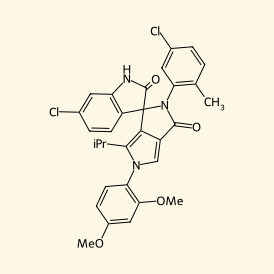 COc1ccc(-n2cc3c(c2C(C)C)C2(C(=O)Nc4cc(Cl)ccc42)N(c2cc(Cl)ccc2C)C3=O)c(OC)c1